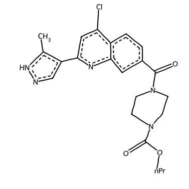 CCCOC(=O)N1CCN(C(=O)c2ccc3c(Cl)cc(-c4cn[nH]c4C)nc3c2)CC1